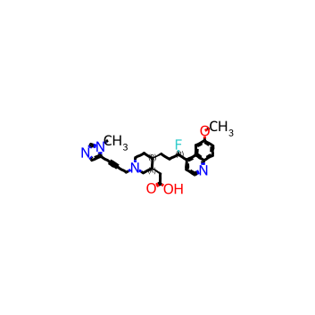 COc1ccc2nccc([C@H](F)CC[C@@H]3CCN(CC#Cc4cncn4C)C[C@@H]3CC(=O)O)c2c1